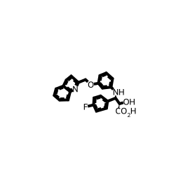 O=C(O)[C@@H](O)[C@@H](Nc1cccc(OCc2ccc3ccccc3n2)c1)c1ccc(F)cc1